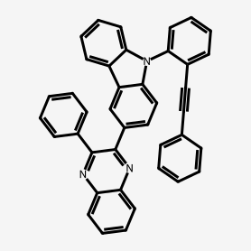 C(#Cc1ccccc1-n1c2ccccc2c2cc(-c3nc4ccccc4nc3-c3ccccc3)ccc21)c1ccccc1